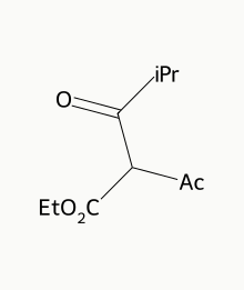 CCOC(=O)C(C(C)=O)C(=O)C(C)C